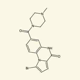 CN1CCN(C(=O)c2ccc3c(c2)[nH]c(=O)c2ccc(Br)n23)CC1